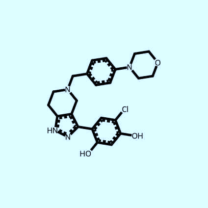 Oc1cc(O)c(-c2n[nH]c3c2CN(Cc2ccc(N4CCOCC4)cc2)CC3)cc1Cl